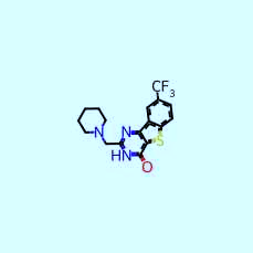 O=c1[nH]c(CN2CCCCC2)nc2c1sc1ccc(C(F)(F)F)cc12